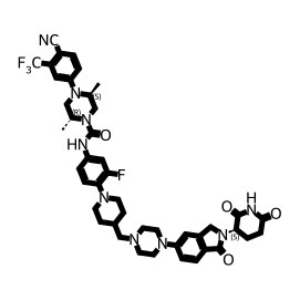 C[C@@H]1CN(c2ccc(C#N)c(C(F)(F)F)c2)[C@@H](C)CN1C(=O)Nc1ccc(N2CCC(CN3CCN(c4ccc5c(c4)CN([C@H]4CCC(=O)NC4=O)C5=O)CC3)CC2)c(F)c1